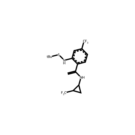 C=C(NC1CC1C(F)(F)F)c1ccc(C(F)(F)F)cc1NSC(C)(C)C